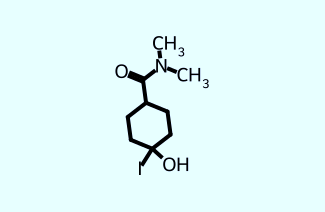 CN(C)C(=O)C1CCC(O)(I)CC1